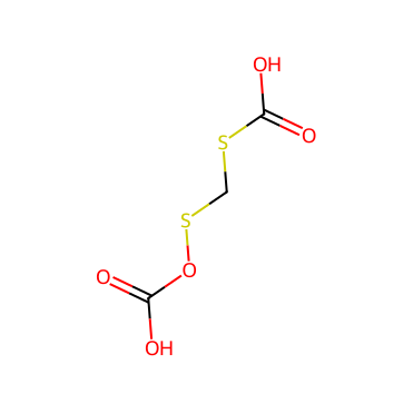 O=C(O)OSCSC(=O)O